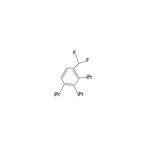 CC(C)c1ccc(C(F)F)c(C(C)C)c1C(C)C